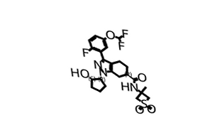 CC1(NC(=O)[C@@H]2CCc3c(-c4cc(OC(F)F)ccc4F)nn([C@@H]4CCC[C@@H]4O)c3C2)CS(=O)(=O)C1